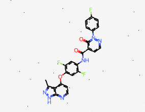 Cc1n[nH]c2nccc(Oc3cc(F)c(NC(=O)c4ccnn(-c5ccc(F)cc5)c4=O)cc3F)c12